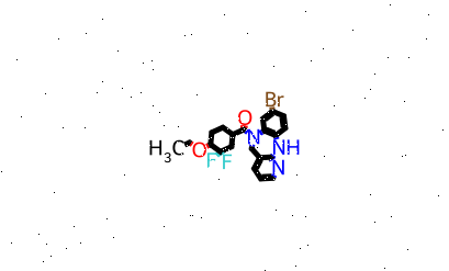 CCOC1CCC(C(=O)N2Cc3cccnc3Nc3ccc(Br)cc32)CC1(F)F